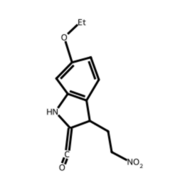 CCOc1ccc2c(c1)NC(=C=O)C2CC[N+](=O)[O-]